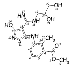 COC(=O)c1cccc(Nc2snc(O)c2C(=N)NCC(O)CO)c1C